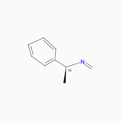 C=N[C@@H](C)c1ccccc1